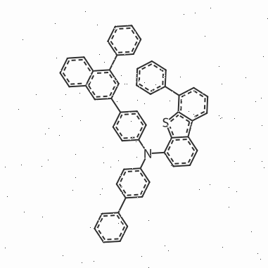 c1ccc(-c2ccc(N(c3ccc(-c4cc(-c5ccccc5)c5ccccc5c4)cc3)c3cccc4c3sc3c(-c5ccccc5)cccc34)cc2)cc1